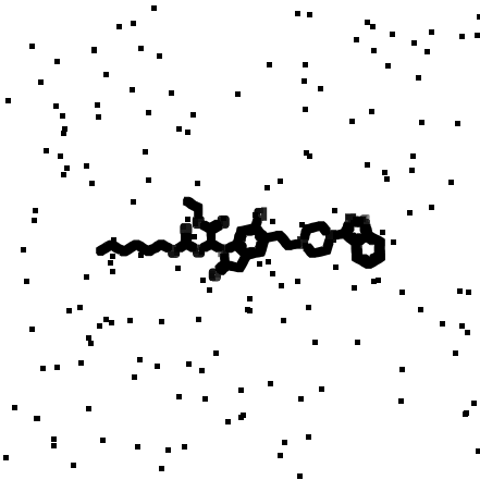 CCCCCCOC(=O)OC(C(=O)OCC)N1C(=O)Cc2cc(CCN3CCN(c4nsc5ccccc45)CC3)c(Cl)cc21